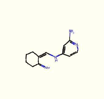 N=C1CCCC/C1=C/Nc1ccnc(N)c1